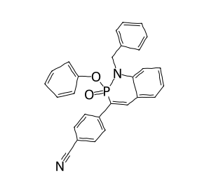 N#Cc1ccc(C2=Cc3ccccc3N(Cc3ccccc3)P2(=O)Oc2ccccc2)cc1